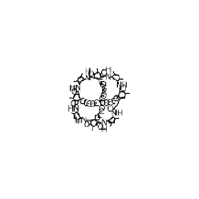 Cc1cc2c3c(c1)C(=O)Nc1cc(c(C)cc1C)NC(=O)c1cc(C)cc4c1OCCOCC1(COCCOC3)COCCOc3c(cc(C)cc3C(=O)Nc3cc(c(C)cc3C)NC(=O)c3cc(C)cc(c3OCCOC1)C(=O)Nc1cc(c(C)cc1C)NC4=O)C(=O)Nc1cc(c(C)cc1C)NC2=O